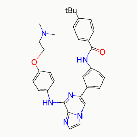 CN(C)CCOc1ccc(Nc2nc(-c3cccc(NC(=O)c4ccc(C(C)(C)C)cc4)c3)cn3ccnc23)cc1